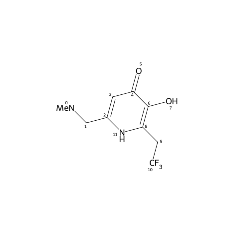 CNCc1cc(=O)c(O)c(CC(F)(F)F)[nH]1